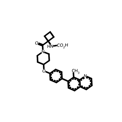 Cc1c(-c2ccc(OC3CCN(C(=O)C4(NC(=O)O)CCC4)CC3)cc2)ccc2cccnc12